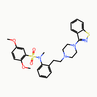 COc1ccc(OC)c(S(=O)(=O)N(C)c2ccccc2CCN2CCN(c3nsc4ccccc34)CC2)c1